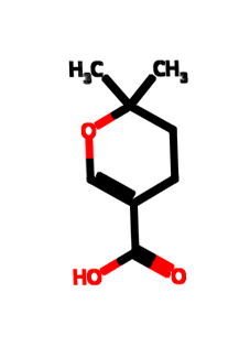 CC1(C)CCC(C(=O)O)=CO1